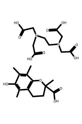 Cc1c(C)c2c(c(C)c1O)CCC(C)(C(=O)O)O2.O=C(O)CN(CCN(CC(=O)O)CC(=O)O)CC(=O)O